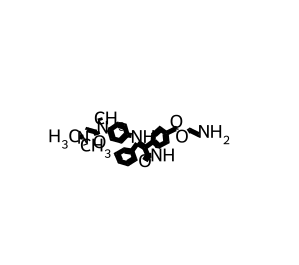 CN(C)CC(=O)N(C)c1ccc(NC(=C2C(=O)Nc3cc(C(=O)OCCN)ccc32)c2ccccc2)cc1